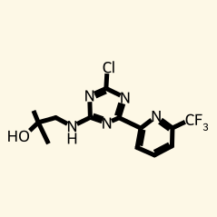 CC(C)(O)CNc1nc(Cl)nc(-c2cccc(C(F)(F)F)n2)n1